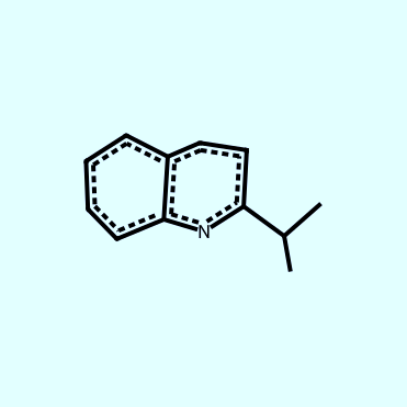 CC(C)c1ccc2ccccc2n1